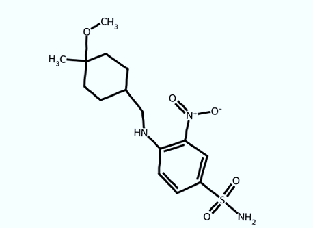 COC1(C)CCC(CNc2ccc(S(N)(=O)=O)cc2[N+](=O)[O-])CC1